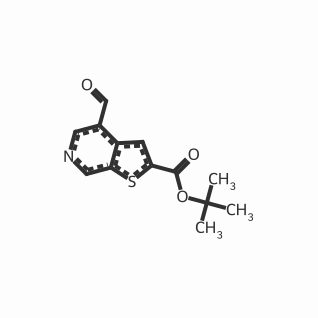 CC(C)(C)OC(=O)c1cc2c(C=O)cncc2s1